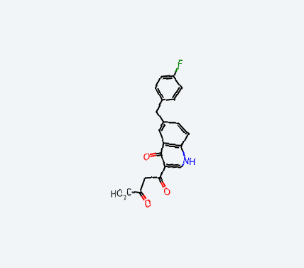 O=C(O)C(=O)CC(=O)c1c[nH]c2ccc(Cc3ccc(F)cc3)cc2c1=O